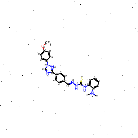 CN(C)c1ccccc1NC(=S)N/N=C/c1ccc(-c2ncn(-c3ccc(OC(F)(F)F)cc3)n2)cc1